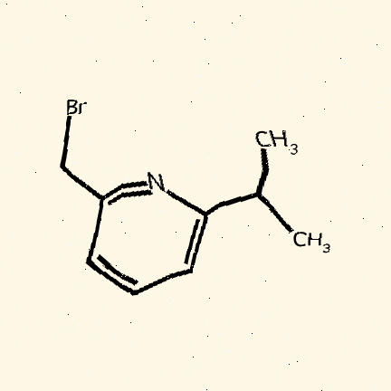 CC(C)c1cccc(CBr)n1